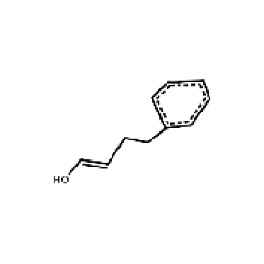 OC=CCCc1ccccc1